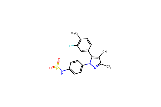 COc1ccc(-c2c(C#N)c(C(F)(F)F)nn2-c2ccc(N[SH](=O)=O)cc2)cc1F